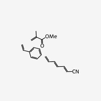 C=C(C)C(=O)OC.C=CC=CC=CC#N.C=Cc1ccccc1